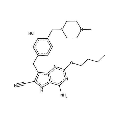 CCCCOc1nc(N)c2[nH]c(C#N)c(Cc3ccc(CN4CCN(C)CC4)cc3)c2n1.Cl